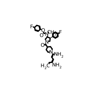 C=C/C(N)=C\C=C(/N)N1CCC(C(=O)N2CC(N(C)C(=O)OC3=CCC(F)C=C3)[C@@H](c3ccc(F)cc3)C2)CC1